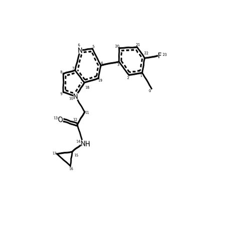 Cc1cc(-c2cnc3ccn(CC(=O)NC4CC4)c3c2)ccc1F